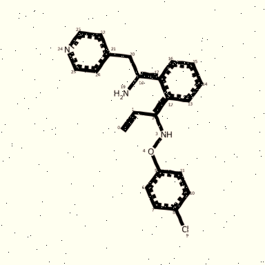 C=C/C(NOc1ccc(Cl)cc1)=c1/cccc/c1=C(/N)Cc1ccncc1